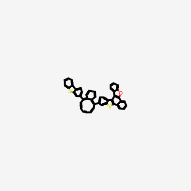 c1cccc(-c2ccc3c(c2)sc2c4ccccc4c4oc5ccccc5c4c32)c2ccccc2c(-c2ccc3c(c2)sc2ccccc23)cc1